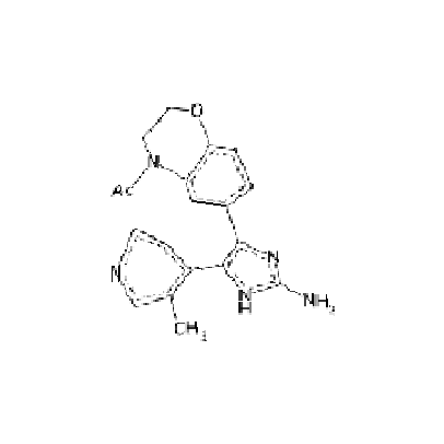 CC(=O)N1CCOc2ccc(-c3nc(N)[nH]c3-c3ccncc3C)cc21